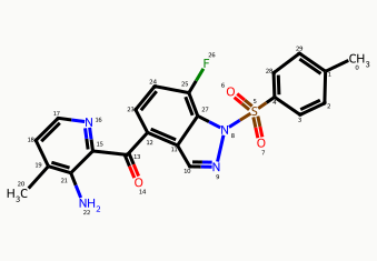 Cc1ccc(S(=O)(=O)n2ncc3c(C(=O)c4nccc(C)c4N)ccc(F)c32)cc1